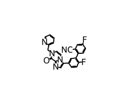 N#Cc1cc(F)ccc1-c1cc(-c2cnc3c(=O)n(Cc4ccccn4)ccn23)ccc1F